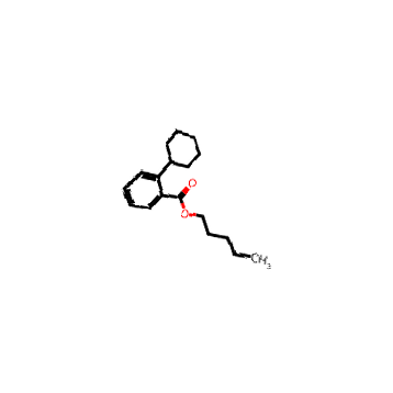 CCCCCOC(=O)c1ccccc1C1CCCCC1